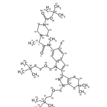 C[C@@H](C(=O)N(C)c1cc2c(cc1F)cc(-c1nn(COCC[Si](C)(C)C)c3c1CCC(C)(C)C3)n2COCC[Si](C)(C)C)N1CCN(C(=O)OC(C)(C)C)CC1